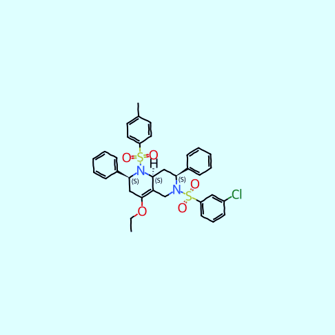 CCOC1=C2CN(S(=O)(=O)c3cccc(Cl)c3)[C@H](c3ccccc3)C[C@@H]2N(S(=O)(=O)c2ccc(C)cc2)[C@H](c2ccccc2)C1